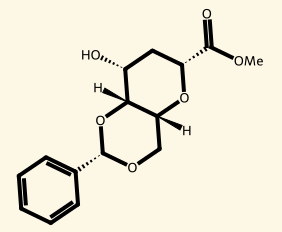 COC(=O)[C@H]1C[C@@H](O)[C@H]2O[C@@H](c3ccccc3)OC[C@H]2O1